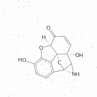 O=C1C=C[C@@]2(O)C3N[C@]34C[C@@]23c2c4ccc(O)c2O[C@@H]13